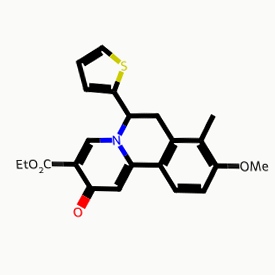 CCOC(=O)c1cn2c(cc1=O)-c1ccc(OC)c(C)c1CC2c1cccs1